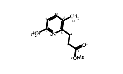 COC(=O)CCc1nc(N)ccc1C